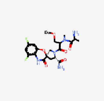 CC(N)C(=O)N(C)C(COC(C)(C)C)C(=O)N1C[C@@]2(C[C@H]1C(N)=O)Oc1cc(F)cc(F)c1NC2=O